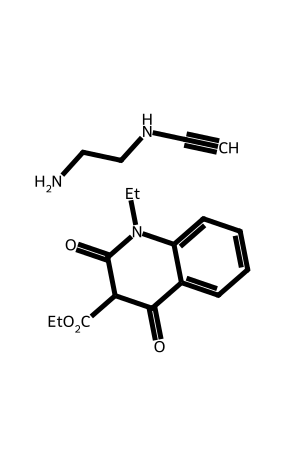 C#CNCCN.CCOC(=O)C1C(=O)c2ccccc2N(CC)C1=O